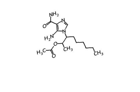 CCCCCCC(C(C)OC(C)=O)n1cnc(C(N)=O)c1N